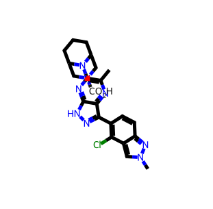 Cc1nc2c(-c3ccc4nn(C)cc4c3Cl)n[nH]c2nc1N1C2CCCC1CN(C(=O)O)C2